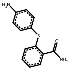 NC(=O)c1ccccc1Sc1ccc(N)cc1